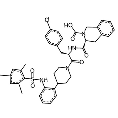 Cc1cc(C)c(S(=O)(=O)Nc2ccccc2C2CCN(C(=O)[C@@H](Cc3ccc(Cl)cc3)NC(=O)[C@@H]3Cc4ccccc4CN3C(=O)O)CC2)c(C)c1